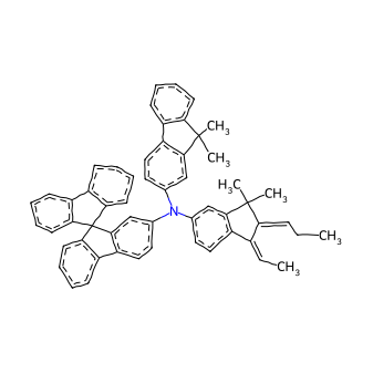 C/C=C1\C(=C/CC)C(C)(C)c2cc(N(c3ccc4c(c3)C(C)(C)c3ccccc3-4)c3ccc4c(c3)C3(c5ccccc5-c5ccccc53)c3ccccc3-4)ccc21